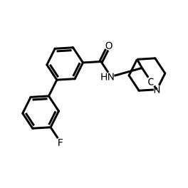 O=C(NC1CN2CCC1CC2)c1cccc(-c2cccc(F)c2)c1